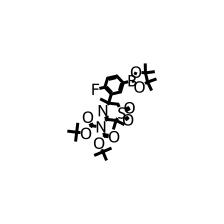 CC(C)(C)OC(=O)N(C(=O)OC(C)(C)C)C1=NC(C)(c2cc(B3OC(C)(C)C(C)(C)O3)ccc2F)CS(=O)(=O)C1(C)C